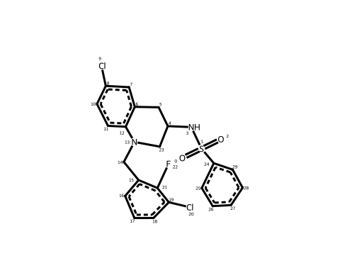 O=S(=O)(NC1Cc2cc(Cl)ccc2N(Cc2cccc(Cl)c2F)C1)c1ccccc1